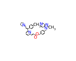 Cc1ccc(/C(=C\CN2CCCC2)c2cccc(C=CC(=O)OCc3ccc(Cn4c(C)nc5cnccc54)cc3)n2)cc1